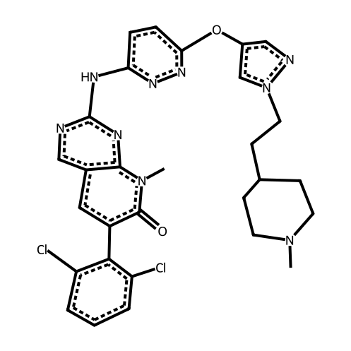 CN1CCC(CCn2cc(Oc3ccc(Nc4ncc5cc(-c6c(Cl)cccc6Cl)c(=O)n(C)c5n4)nn3)cn2)CC1